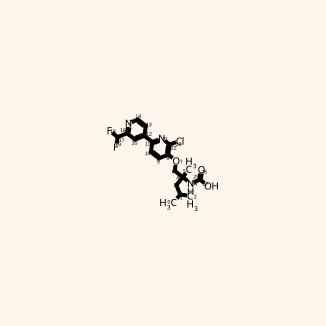 CC(C)CC(C)(COc1ccc(-c2ccnc(C(F)F)c2)nc1Cl)NC(=O)O